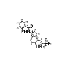 C/C=C\C(=C/C(=N)C(F)(F)F)c1ccc(NC(=O)c2ccccc2F)s1